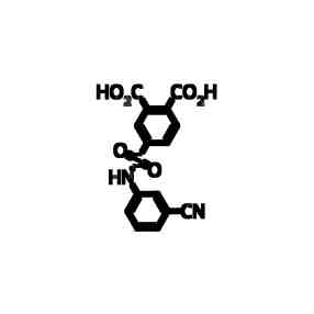 N#Cc1cccc(NS(=O)(=O)c2ccc(C(=O)O)c(C(=O)O)c2)c1